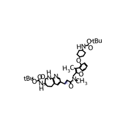 Cc1c(CN(C)C(=O)/C=C/c2cnc3c(c2)CC[C@H](NC(=O)OC(C)(C)C)C(=O)N3)oc2cccc(OC3CCC(NC(=O)OC(C)(C)C)CC3)c12